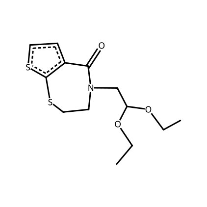 CCOC(CN1CCSc2sccc2C1=O)OCC